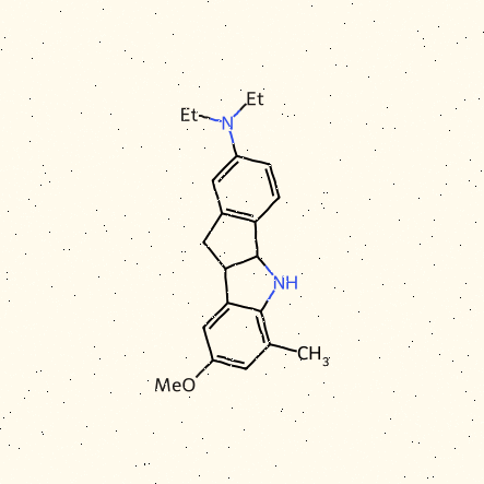 CCN(CC)c1ccc2c(c1)CC1c3cc(OC)cc(C)c3NC21